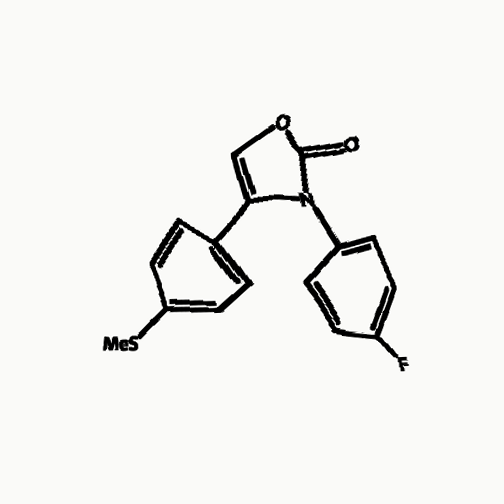 CSc1ccc(-c2coc(=O)n2-c2ccc(F)cc2)cc1